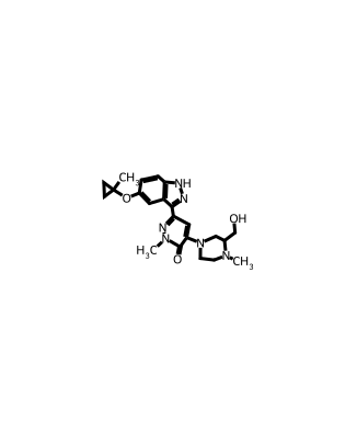 CN1CCN(c2cc(-c3n[nH]c4ccc(OC5(C)CC5)cc34)nn(C)c2=O)CC1CO